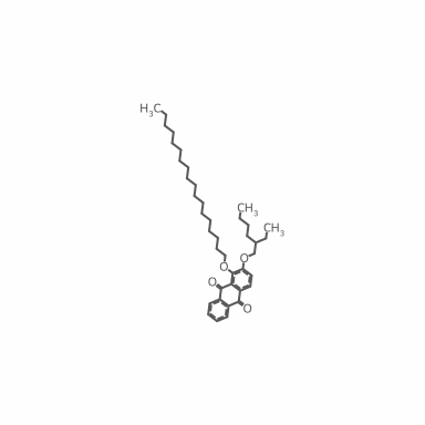 CCCCCCCCCCCCCCCCCCOc1c(OCC(CC)CCCC)ccc2c1C(=O)c1ccccc1C2=O